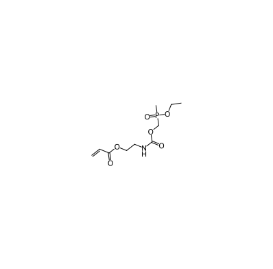 C=CC(=O)OCCNC(=O)OCP(C)(=O)OCC